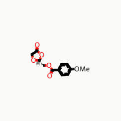 COc1ccc(C(=O)OC[C@@H]2OCC(=O)O2)cc1